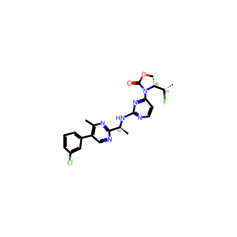 Cc1nc([C@H](C)Nc2nccc(N3C(=O)OC[C@@H]3[C@H](C)F)n2)ncc1-c1cccc(Cl)c1